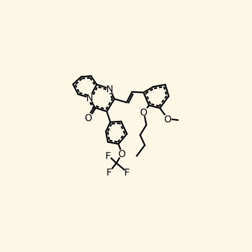 CCCCOc1c(C=Cc2nc3ccccn3c(=O)c2-c2ccc(OC(F)(F)F)cc2)cccc1OC